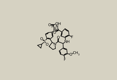 COc1cc(C(Nc2cc(C(N)=O)ccc2F)C(=O)N2CCCC2c2cc(NC(=O)O)ccc2S(=O)(=O)C2CC2)ccc1F